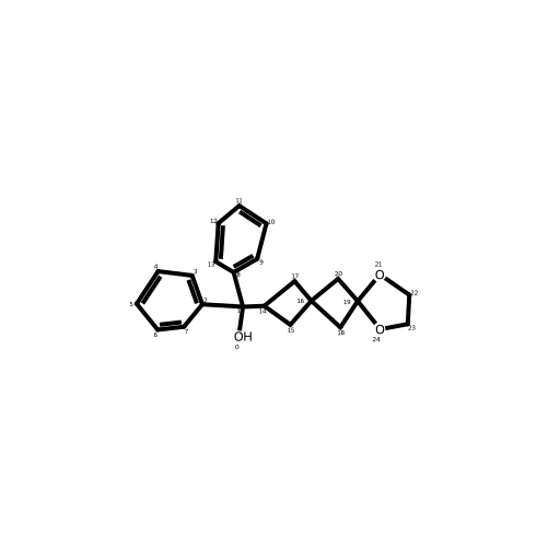 OC(c1ccccc1)(c1ccccc1)C1CC2(C1)CC1(C2)OCCO1